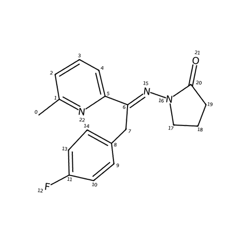 Cc1cccc(/C(Cc2ccc(F)cc2)=N/N2CCCC2=O)n1